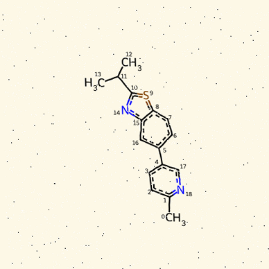 Cc1ccc(-c2ccc3sc(C(C)C)nc3c2)cn1